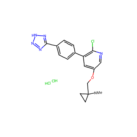 CNC1(COc2cnc(Cl)c(-c3ccc(-c4nn[nH]n4)cc3)c2)CC1.Cl.Cl